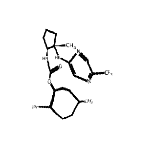 CC1CCC(C(C)C)C(OC(=O)N[C@H]2CCC[C@]2(C)Nc2cnc(C(F)(F)F)cn2)C1